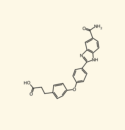 NC(=O)c1ccc2[nH]c(-c3ccc(Oc4ccc(CCC(=O)O)cc4)cc3)nc2c1